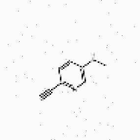 C#Cc1ccc(NC)cn1